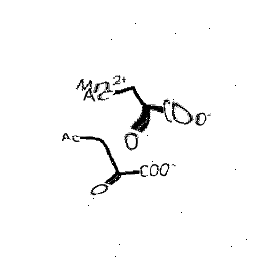 CC(=O)CC(=O)C(=O)[O-].CC(=O)CC(=O)C(=O)[O-].[Mn+2]